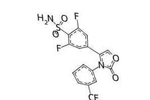 NS(=O)(=O)c1c(F)cc(-c2coc(=O)n2-c2cccc(C(F)(F)F)c2)cc1F